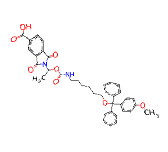 COc1ccc(C(OCCCCCCNC(=O)OC(C)N2C(=O)c3ccc(C(=O)O)cc3C2=O)(c2ccccc2)c2ccccc2)cc1